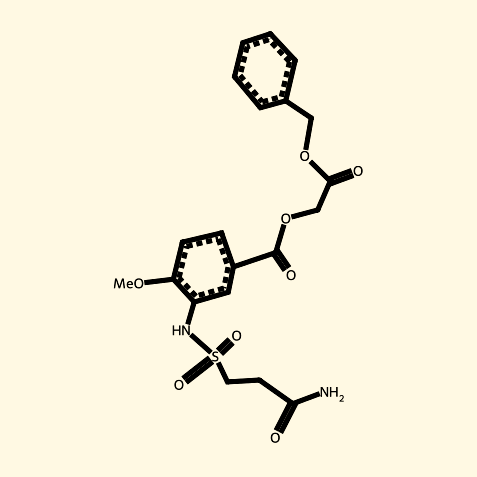 COc1ccc(C(=O)OCC(=O)OCc2ccccc2)cc1NS(=O)(=O)CCC(N)=O